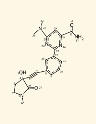 CN1CC[C@@](O)(C#Cc2cccc(-c3nc(C(N)=O)cc(N(C)C)n3)c2)C1=O